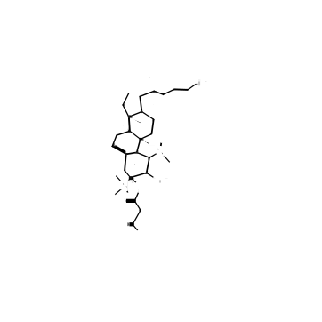 CCCC1C(N(C)C)[C@@]2(C)C(=CC[C@H]3[C@@H]4CC[C@H]([C@H](C)CCCC(C)C)[C@@]4(C)CC[C@@H]32)CC1(OC(=O)CC(=O)C(=O)O)[N+](C)(C)C.[I-]